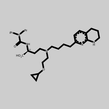 CC(C)N(C(=O)N[C@@H](CCN(CCCCc1ccc2c(n1)NCCC2)CCOC1CC1)C(=O)O)C(C)C